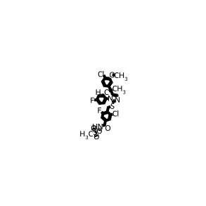 COc1cc(C(C)(C)c2cnc(SCc3c(F)cc(C(=O)NOS(C)(=O)=O)cc3Cl)n2-c2ccc(F)cc2)ccc1Cl